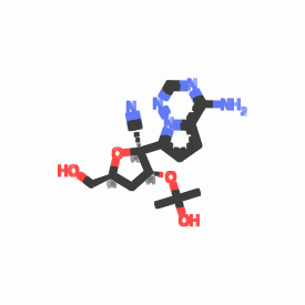 CC(C)(O)O[C@@H]1C[C@@H](CO)O[C@@]1(C#N)c1ccc2c(N)ncnn12